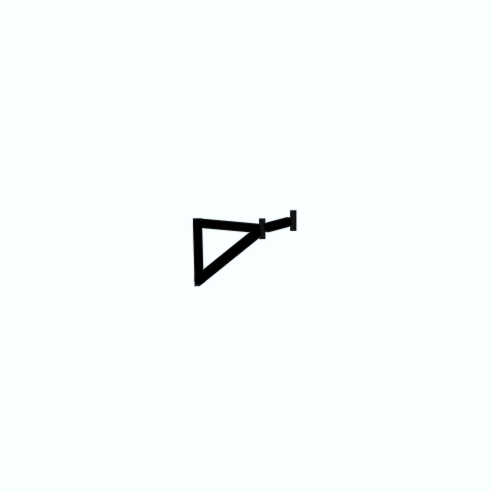 II1CC1